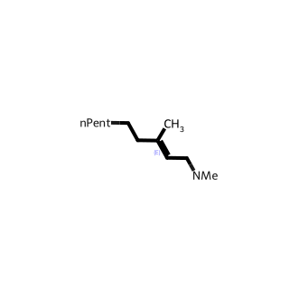 CCCCCCC/C(C)=C/CNC